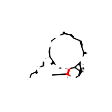 CC1=C[C@H]2O[C@@H]3C[C@H]4OC(=O)/C=C\C=C\C(=O)OCC[C@@H](C)[C@H](OCNC(=O)CN)C(=O)OC[C@@]2(CC1)[C@]4(C)[C@]31CO1